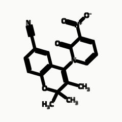 CC1=C(n2cccc([N+](=O)[O-])c2=O)c2cc(C#N)ccc2OC1(C)C